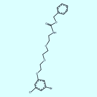 O=C(NCCOCCOCCOc1cc(Cl)cc(Br)c1)OCc1ccccc1